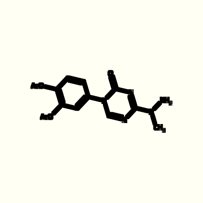 CC(=O)Oc1ccc(-n2cnc(N(C)N)nc2=O)cc1OC(C)=O